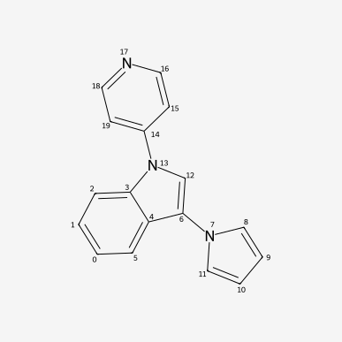 c1ccc2c(c1)c(-n1cccc1)cn2-c1ccncc1